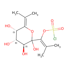 CC(C)=C1OC(O)(C(OS(=O)(=O)Cl)=C(C)C)[C@@H](O)[C@H](O)[C@@H]1O